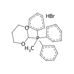 Br.CP(c1ccccc1)(c1ccccc1)(c1ccccc1)C1OCCCO1